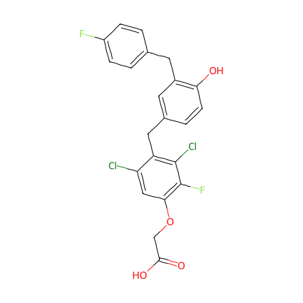 O=C(O)COc1cc(Cl)c(Cc2ccc(O)c(Cc3ccc(F)cc3)c2)c(Cl)c1F